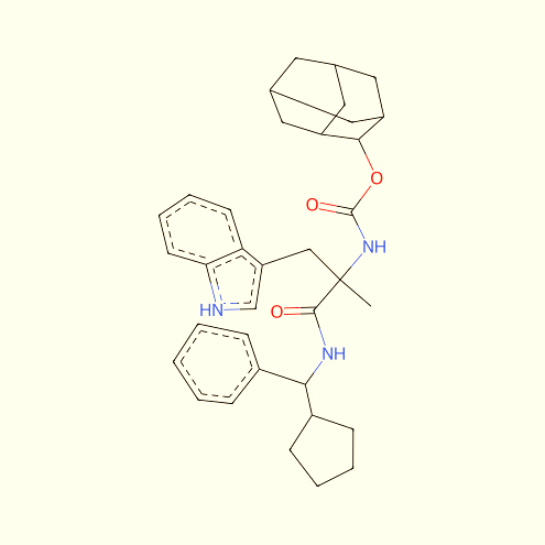 CC(Cc1c[nH]c2ccccc12)(NC(=O)OC1C2CC3CC(C2)CC1C3)C(=O)NC(c1ccccc1)C1CCCC1